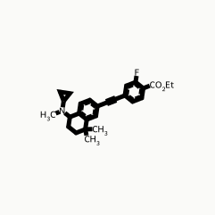 CCOC(=O)c1ccc(C#Cc2ccc3c(c2)C(C)(C)CCC3N(C)C2CC2)cc1F